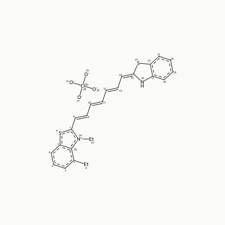 CCc1cccc2sc(C=CC=CC=CC=C3Nc4ccccc4S3)[n+](CC)c12.[O-][Cl+3]([O-])([O-])[O-]